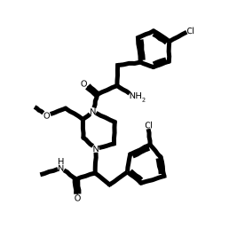 CNC(=O)C(Cc1cccc(Cl)c1)N1CCN(C(=O)C(N)Cc2ccc(Cl)cc2)C(COC)C1